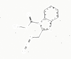 CC(C)(C)OC(=O)n1c(CN=C=O)nc2ccccc21